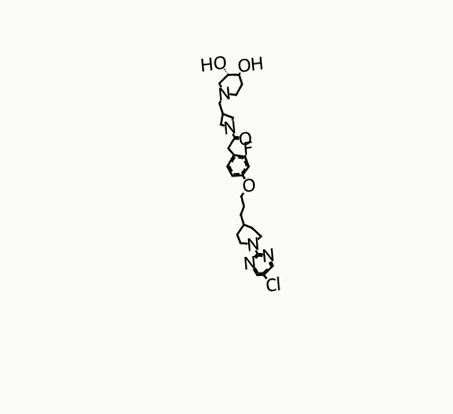 O=C(Cc1ccc(OCCCC2CCN(c3ncc(Cl)cn3)CC2)cc1F)N1CC(CN2CC[C@@H](O)[C@@H](O)C2)C1